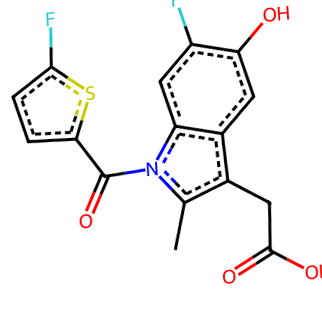 Cc1c(CC(=O)O)c2cc(O)c(F)cc2n1C(=O)c1ccc(F)s1